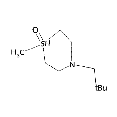 CC(C)(C)CN1CC[SH](C)(=O)CC1